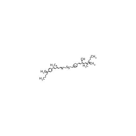 C#CC(=C\C=C(/C)N(C)CCCC)/C=C/C1C=C[N+](CCSSCC/N=C/C=C(C=C)/C=C/c2ccc(N(C)CCCC)cc2)=CC1